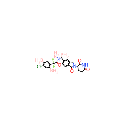 Bc1cc(C(F)(F)C(=O)N(B)C(B)c2ccc3c(c2)CN(C2CCC(=O)NC2=O)C3=O)c(B)cc1Cl